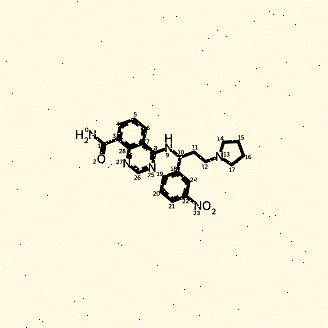 NC(=O)c1cccc2c(NC(CCN3CCCC3)c3cccc([N+](=O)[O-])c3)ncnc12